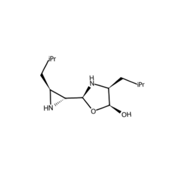 CC(C)C[C@@H]1N[C@H]1[C@H]1N[C@@H](CC(C)C)[C@@H](O)O1